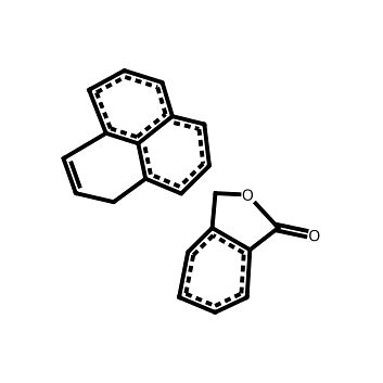 C1=Cc2cccc3cccc(c23)C1.O=C1OCc2ccccc21